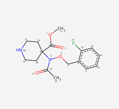 COC(=O)C1(N(OCc2ccccc2F)C(C)=O)CCNCC1